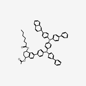 CCCCCCC(=O)OC1CCC(OC(C)=O)c2ccc(-c3ccc(N(c4ccc(-c5ccccc5)cc4)c4ccc(N(c5ccc(-c6ccccc6)cc5)c5ccc(-c6ccc7ccccc7c6)cc5)cc4)cc3)cc21